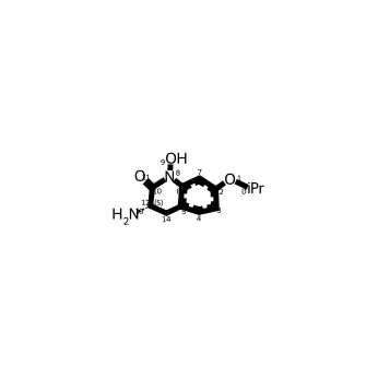 CC(C)Oc1ccc2c(c1)N(O)C(=O)[C@@H](N)C2